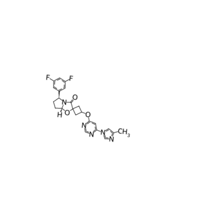 Cc1cn(-c2cc(OC3CC4(C3)O[C@@H]3CC[C@@H](c5cc(F)cc(F)c5)N3C4=O)ncn2)cn1